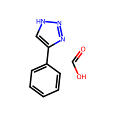 O=CO.c1ccc(-c2c[nH]nn2)cc1